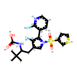 CC(C)(C)C(Cc1cn(S(=O)(=O)c2ccsc2)c(-c2cccnc2F)c1F)NC(=O)O